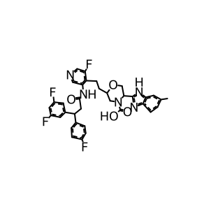 Cc1ccc2nc(C3COC(CCc4c(F)cncc4NC(=O)CC(c4ccc(F)cc4)c4cc(F)cc(F)c4)CN3C(=O)O)[nH]c2c1